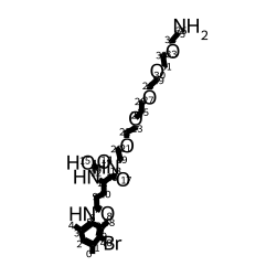 Cc1cc(C)c(NC(=O)CCC(NC(=O)O)C(=O)NCCOCCOCCOCCOCCOCCN)c(C)c1Br